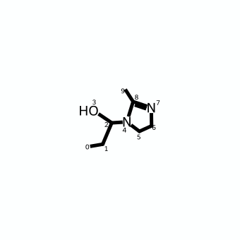 CCC(O)N1CCN=C1C